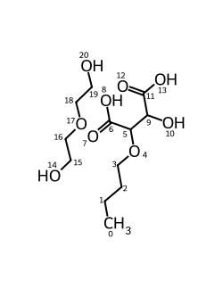 CCCCOC(C(=O)O)C(O)C(=O)O.OCCOCCO